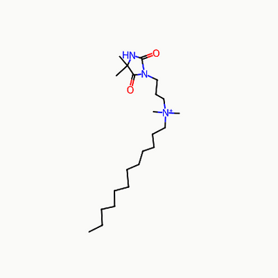 CCCCCCCCCCCC[N+](C)(C)CCCN1C(=O)NC(C)(C)C1=O